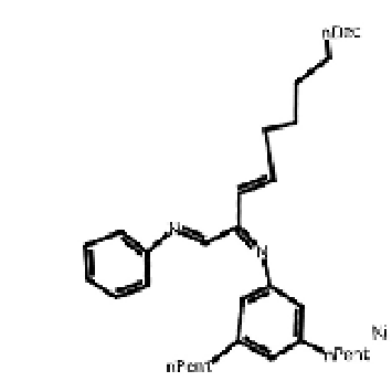 CCCCCCCCCCCCCC/C=C/C(/C=N/c1ccccc1)=N/c1cc(CCCCC)cc(CCCCC)c1.[Ni]